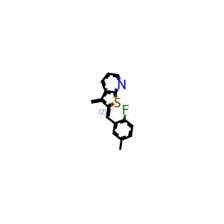 C=c1/c(=C/c2cc(C)ccc2F)sc2ncccc12